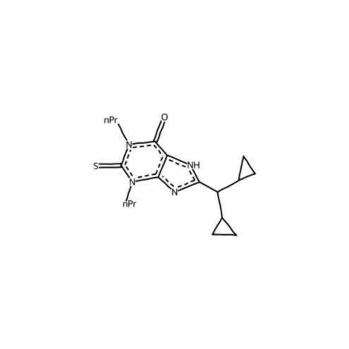 CCCn1c(=O)c2[nH]c(C(C3CC3)C3CC3)nc2n(CCC)c1=S